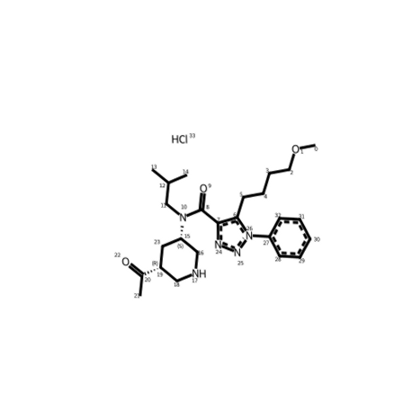 COCCCCc1c(C(=O)N(CC(C)C)[C@@H]2CNC[C@H](C(C)=O)C2)nnn1-c1ccccc1.Cl